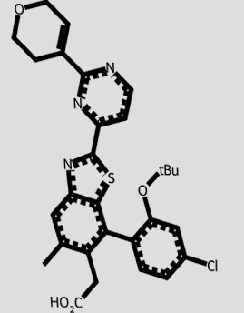 Cc1cc2nc(-c3ccnc(C4=CCOCC4)n3)sc2c(-c2ccc(Cl)cc2OC(C)(C)C)c1CC(=O)O